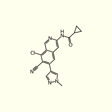 Cn1cc(-c2cc3cc(NC(=O)C4CC4)ncc3c(Cl)c2C#N)cn1